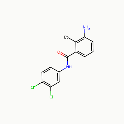 CCc1c(N)cccc1C(=O)Nc1ccc(Cl)c(Cl)c1